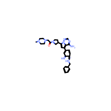 CN1CCN(CC(=O)N2CCC(c3cc(C4=CC(=N)/C(=C\NCc5ccccc5)C=C4)c4c(N)ncnn34)C2)CC1